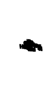 Cc1ncsc1-c1ccc([C@H](C)NC(=O)[C@@H]2CC(O[Si](C)(C)C(C)(C)C)CN2C(=O)C(c2cc(CO)no2)C(C)C)cc1